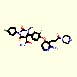 CC(C)n1c(-c2ccc(Oc3ccnc(N)c3C=CC(=O)N3CCNCC3)c(F)c2)c(C(N)=O)c(=O)n(-c2ccc(F)cc2)c1=O